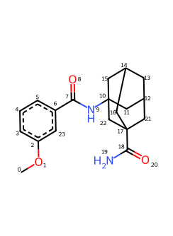 COc1cccc(C(=O)NC23CC4CC(C2)CC(C(N)=O)(C4)C3)c1